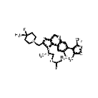 Cc1cc2c(cc1-c1c(C)noc1C)ncc1nc(CN3CCC(C)(F)CC3)n([C@@H](C)COC(F)F)c12